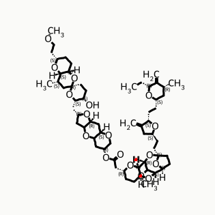 C=C1C[C@H](CC[C@]23CC[C@H](O2)[C@@H]2O[C@H]4CC[C@H](CC(=O)O[C@H]5CO[C@H]6C[C@H]7O[C@@H](C[C@@H]8O[C@@]9(CC[C@@H]8O)C[C@H](C)[C@@H]8O[C@H](CCOC)CC[C@@H]8O9)CC7OC6C5)O[C@@H]4[C@H](O3)C2OC)O[C@H]1CC[C@H]1C[C@@H](C)C(=C)[C@@H](CC)O1